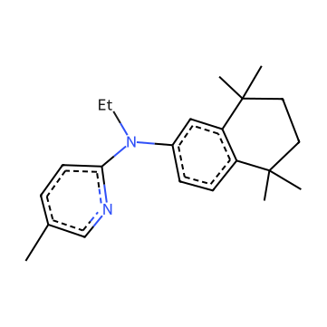 CCN(c1ccc2c(c1)C(C)(C)CCC2(C)C)c1ccc(C)cn1